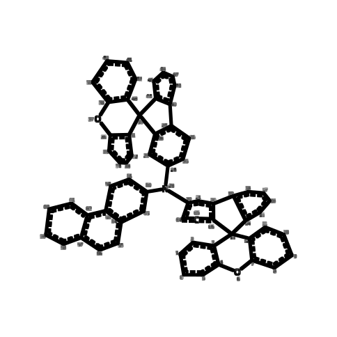 c1ccc2c(c1)Oc1ccccc1C21c2ccccc2-c2cc(N(c3ccc4c(c3)C3(c5ccccc5Oc5ccccc53)c3ccccc3-4)c3ccc4c(ccc5ccccc54)c3)ccc21